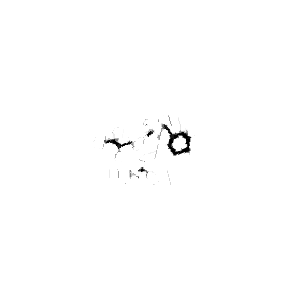 CC(NC(=S)OCC(Cl)=C(Cl)Cl)c1ccccc1.NC(O)=S